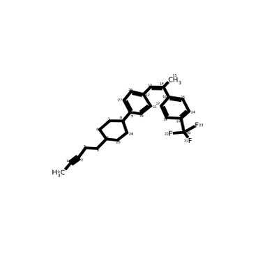 CC#CCCC1CCC(c2ccc(C=C(C)c3ccc(C(F)(F)F)cc3)cc2)CC1